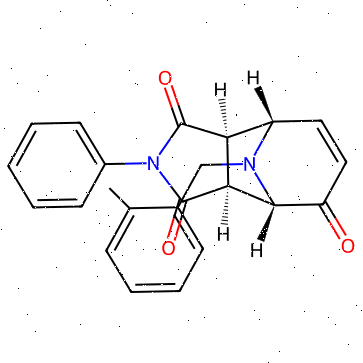 Cc1ccccc1CN1[C@@H]2C(=O)C=C[C@H]1[C@@H]1C(=O)N(c3ccccc3)C(=O)[C@@H]12